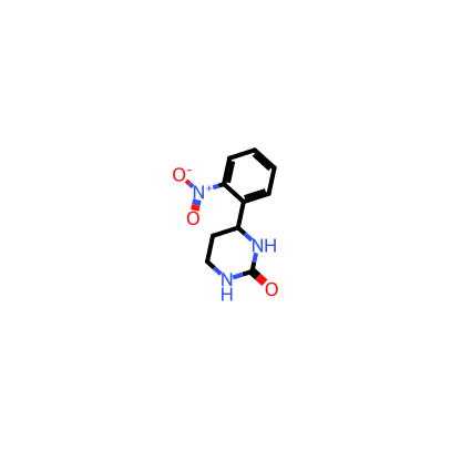 O=C1NCCC(c2ccccc2[N+](=O)[O-])N1